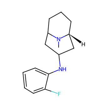 CN1C2CCC[C@@H]1CC(Nc1ccccc1F)C2